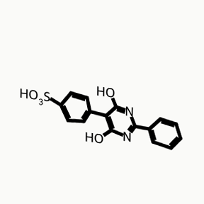 O=S(=O)(O)c1ccc(-c2c(O)nc(-c3ccccc3)nc2O)cc1